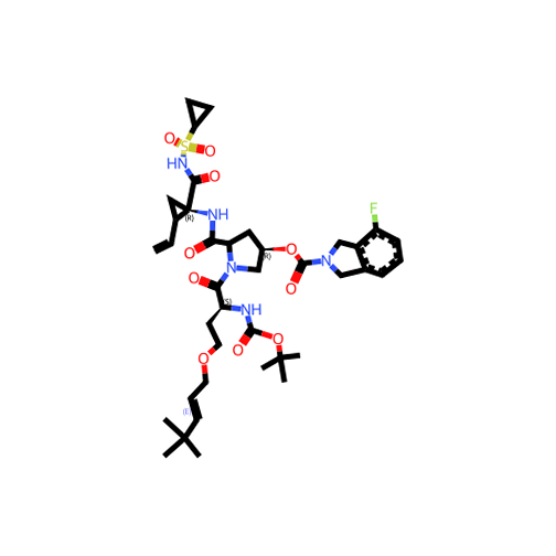 C=CC1C[C@]1(NC(=O)C1C[C@@H](OC(=O)N2Cc3cccc(F)c3C2)CN1C(=O)[C@H](CCOC/C=C/C(C)(C)C)NC(=O)OC(C)(C)C)C(=O)NS(=O)(=O)C1CC1